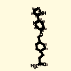 CC(=O)CCC1CCC(COc2ccc(-c3ccn[nH]3)nc2)CC1